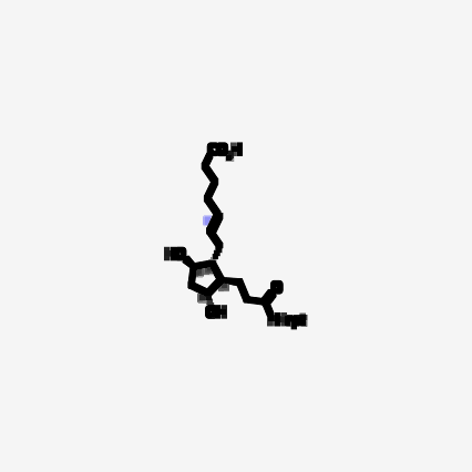 CCCCCCCC(=O)CC[C@@H]1[C@@H](C/C=C/CCCC(=O)O)[C@H](O)C[C@H]1O